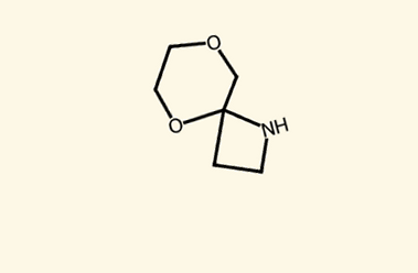 C1CC2(COCCO2)N1